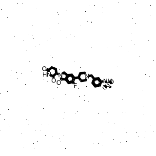 CS(=O)(=O)Nc1cccc(CN2CCC(c3cc4c(cc3F)C(=O)N(C3CCC(=O)NC3=O)C4)CC2)c1